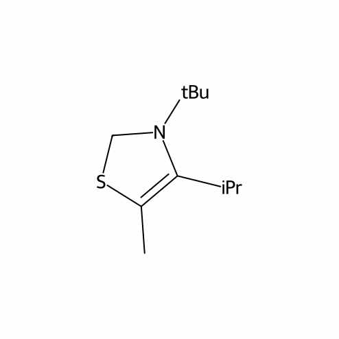 CC1=C(C(C)C)N(C(C)(C)C)CS1